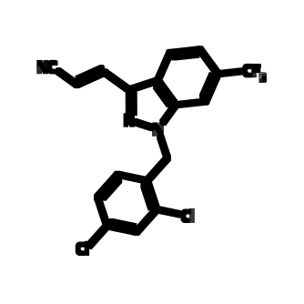 N#CC=Cc1nn(Cc2ccc(Cl)cc2Cl)c2cc(C(F)(F)F)ccc12